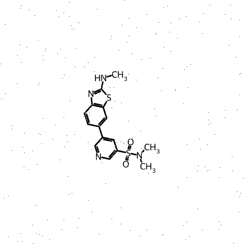 CNc1nc2ccc(-c3cncc(S(=O)(=O)N(C)C)c3)cc2s1